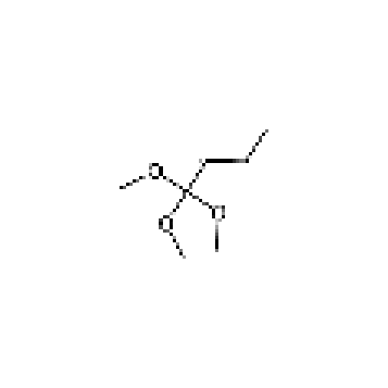 CC[CH]C(OC)(OC)OC